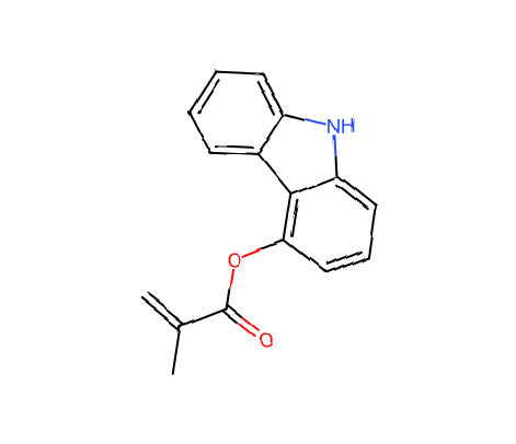 C=C(C)C(=O)Oc1cccc2[nH]c3ccccc3c12